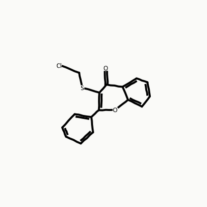 O=c1c(SCCl)c(-c2ccccc2)oc2ccccc12